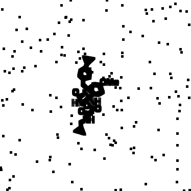 COc1ccc(C2(NS(=O)(=O)CC(=O)NCC3CC3)CNC(=O)N2CCc2ccc(C3CC3)cc2)cc1